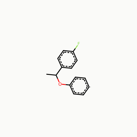 CC(Oc1cc[c]cc1)c1ccc(F)cc1